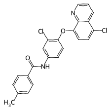 Cc1ccc(C(=O)Nc2ccc(Oc3ccc(Cl)c4cccnc34)c(Cl)c2)cc1